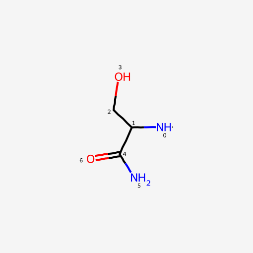 [NH]C(CO)C(N)=O